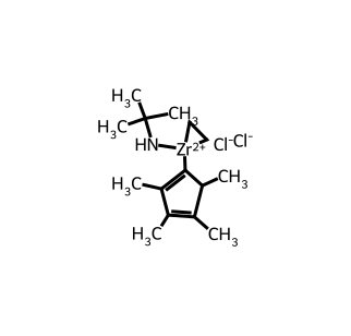 CC1=C(C)C(C)[C]([Zr+2]2([NH]C(C)(C)C)[CH2][CH2]2)=C1C.[Cl-].[Cl-]